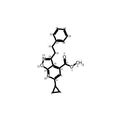 COC(=O)c1cc(C2CC2)nc2onc(CCc3ccccc3)c12